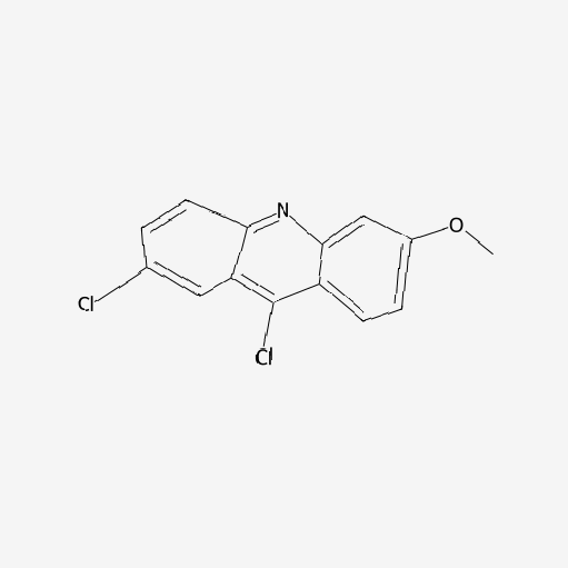 COc1ccc2c(Cl)c3cc(Cl)ccc3nc2c1